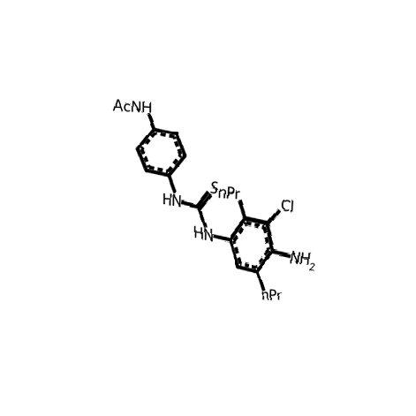 CCCc1cc(NC(=S)Nc2ccc(NC(C)=O)cc2)c(CCC)c(Cl)c1N